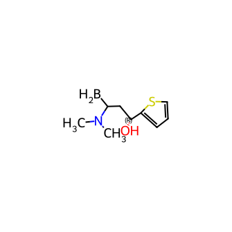 BC(C[C@@H](O)c1cccs1)N(C)C